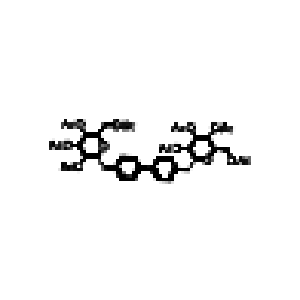 CC(=O)OC[C@H]1O[C@H](Cc2ccc(-c3ccc(C[C@H]4O[C@H](COC(C)=O)[C@@H](OC(C)=O)[C@H](OC(C)=O)[C@@H]4OC(C)=O)cc3)cc2)[C@@H](OC(C)=O)[C@H](OC(C)=O)[C@@H]1OC(C)=O